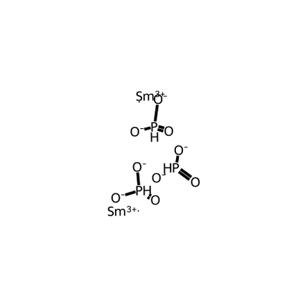 O=[PH]([O-])[O-].O=[PH]([O-])[O-].O=[PH]([O-])[O-].[Sm+3].[Sm+3]